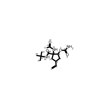 C=CC1CC(OC(N)=O)C(NC(C)=O)(C(=O)NC(C)(C)C)C1